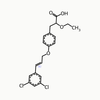 CCOC(Cc1ccc(OC/C=C/c2cc(Cl)cc(Cl)c2)cc1)C(=O)O